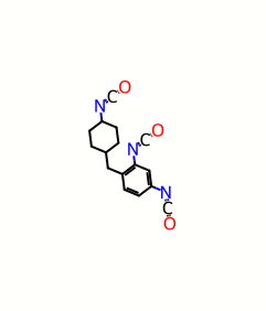 O=C=Nc1ccc(CC2CCC(N=C=O)CC2)c(N=C=O)c1